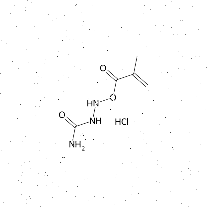 C=C(C)C(=O)ONNC(N)=O.Cl